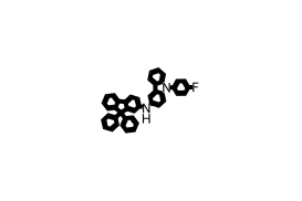 Fc1ccc(-n2c3ccccc3c3cc(Nc4ccc5c(c4)C(c4ccccc4)(c4ccccc4)c4ccccc4-5)ccc32)cc1